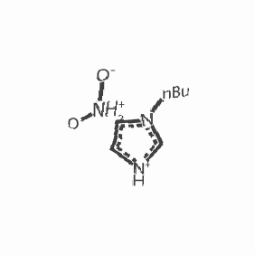 CCCCn1cc[nH+]c1.[O-][NH2+][O-]